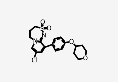 O=S1(=O)CCCN2C=C(Cl)C=C(c3ccc(OC4CCOCC4)cc3)C2=N1